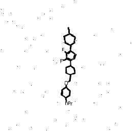 CCCC1C=CC(OCC2CCC(c3ccc(C4CCC(C)CC4)c(F)c3F)CC2)CC1